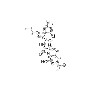 CCCON=C(C(=O)N[C@@H]1C(=O)N2C(C(=O)O)=C(COC(C)=O)CS[C@H]12)c1nc(N)sc1Cl